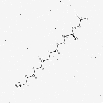 CC(C)COC(=O)NCCOCCOCCOCCN